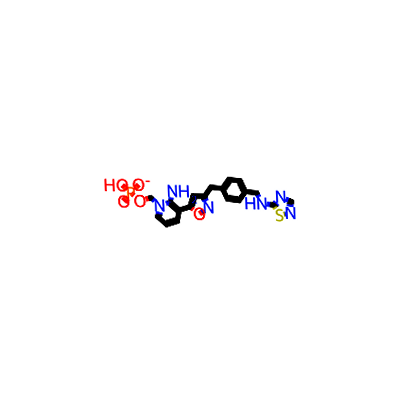 Nc1c(-c2cc(Cc3ccc(CNc4ncns4)cc3)no2)ccc[n+]1COP(=O)([O-])O